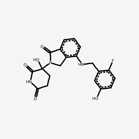 O=C1CCC(O)(N2Cc3c(NCc4cc(O)ccc4F)cccc3C2=O)C(=O)N1